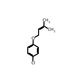 CC(C)=CCOc1ccc(Cl)cc1